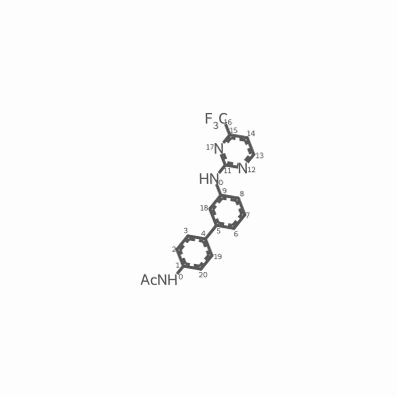 CC(=O)Nc1ccc(-c2cccc(Nc3nccc(C(F)(F)F)n3)c2)cc1